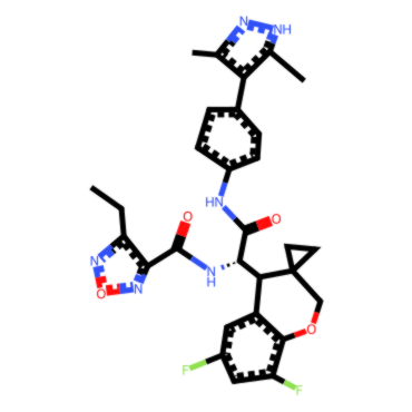 CCc1nonc1C(=O)N[C@H](C(=O)Nc1ccc(-c2c(C)n[nH]c2C)cc1)C1c2cc(F)cc(F)c2OCC12CC2